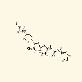 O=C(Nc1cc2cc([C@H]3CC[C@H](N4CC(F)C4)CC3)c(Cl)cc2cn1)[C@H]1CC12CCOCC2